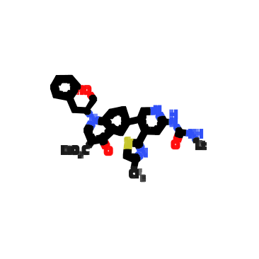 CCNC(=O)Nc1cc(-c2nc(C(F)(F)F)cs2)c(-c2ccc3c(c2)c(=O)c(C(=O)OCC)cn3[C@H](CO)Cc2ccccc2)cn1